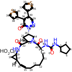 O=C(NC1CCCC1)N[C@H]1CCCCC/C=C\[C@@H]2C[C@@]2(C(=O)O)NC(=O)[C@@H]2C[C@H](n3ncc(-c4ccsc4)c(-c4ccsc4)c3=O)CN2C1=O